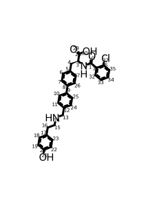 O=C(N[C@@H](Cc1ccc(-c2ccc(CNCCc3ccc(O)cc3)cc2)cc1)C(=O)O)c1ccccc1Cl